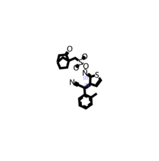 Cc1ccccc1/C(C#N)=C1\C=CS\C1=N/OS(=O)(=O)CC12CCC(CC1=O)C2